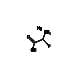 CC(F)C(=O)O.[Hg]